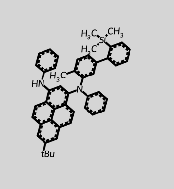 Cc1ccc(-c2ccccc2[Si](C)(C)C)cc1N(c1ccccc1)c1cc(Nc2ccccc2)c2ccc3cc(C(C)(C)C)cc4ccc1c2c34